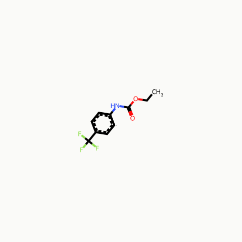 CCOC(=O)Nc1[c]cc(C(F)(F)F)cc1